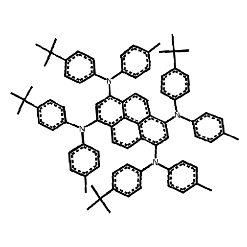 Cc1ccc(N(c2ccc(C(C)(C)C)cc2)c2cc(N(c3ccc(C)cc3)c3ccc(C(C)(C)C)cc3)c3ccc4c(N(c5ccc(C)cc5)c5ccc(C(C)(C)C)cc5)cc(N(c5ccc(C)cc5)c5ccc(C(C)(C)C)cc5)c5ccc2c3c54)cc1